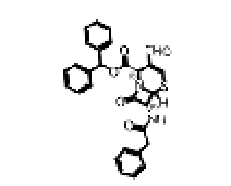 O=CC1=CS[C@@H]2[C@H](NC(=O)Cc3ccccc3)C(=O)N2[C@H]1C(=O)OC(c1ccccc1)c1ccccc1